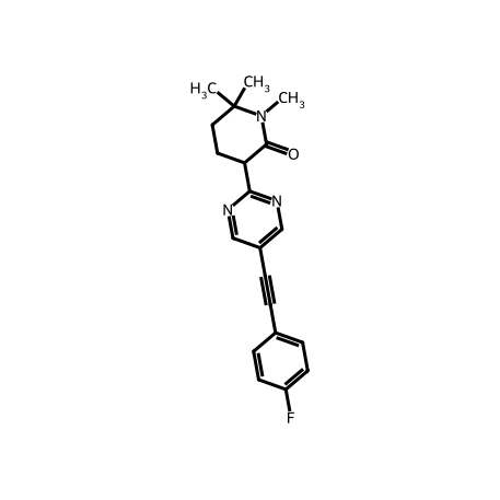 CN1C(=O)C(c2ncc(C#Cc3ccc(F)cc3)cn2)CCC1(C)C